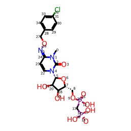 Cn1c(=O)n([C@@H]2O[C@H](COP(=O)(O)CP(=O)(O)O)C(O)C2O)cc/c1=N/OCc1ccc(Cl)cc1